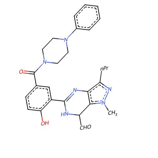 CCCc1nn(C)c2c1N=C(c1cc(C(=O)N3CCN(c4ccccc4)CC3)ccc1O)NC2C=O